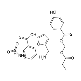 CCC(=O)OCOC(=S)c1ccccc1.Cl.NCc1ccco1.N[SH](=O)=O.OC(=S)c1ccccc1